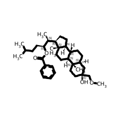 COC[C@]1(O)CC[C@@]2(C)[C@@H](CC[C@@H]3[C@@H]2CC[C@]2(C)[C@@H]([C@H](C)[C@H](CCC(C)C)OC(=O)c4ccccc4)CC[C@@H]32)C1